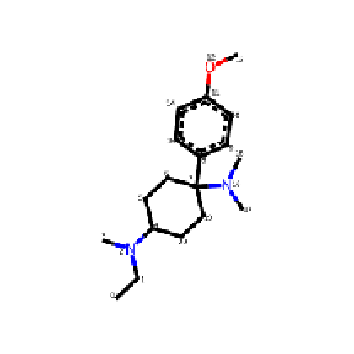 CCN(C)C1CCC(c2ccc(OC)cc2)(N(C)C)CC1